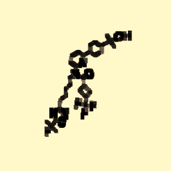 CC(C)(O)c1ccc(-c2cccc(N(CCCCCc3noc(C(C)(C)F)n3)C(=O)[C@H]3C[C@H](C(F)(F)F)C3)n2)cc1